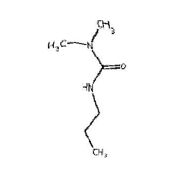 CCCNC(=O)N(C)C